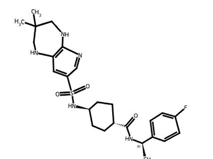 C[C@@H](NC(=O)[C@H]1CC[C@H](NS(=O)(=O)c2cnc3c(c2)NCC(C)(C)CN3)CC1)c1ccc(F)cc1